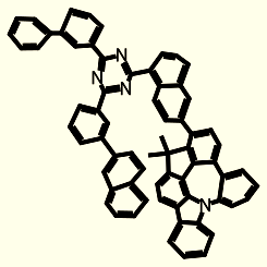 CC1(C)c2ccc3c4ccccc4n4c3c2-c2c(ccc(-c3ccc5c(-c6nc(-c7cccc(-c8ccccc8)c7)nc(-c7cccc(-c8ccc9ccccc9c8)c7)n6)cccc5c3)c21)-c1ccccc1-4